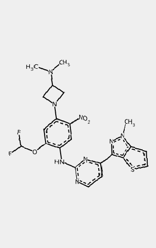 CN(C)C1CN(c2cc(OC(F)F)c(Nc3nccc(-c4nn(C)c5ccsc45)n3)cc2[N+](=O)[O-])C1